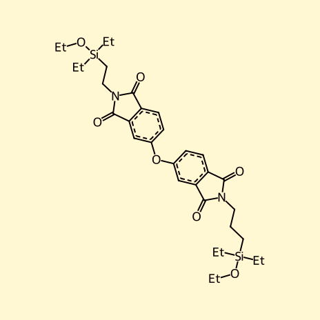 CCO[Si](CC)(CC)CCCN1C(=O)c2ccc(Oc3ccc4c(c3)C(=O)N(CC[Si](CC)(CC)OCC)C4=O)cc2C1=O